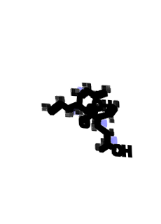 C#C/C(=C\C=C(/C)O)S(=O)(=O)C(/C=C\C(=C)O)=C/C=C